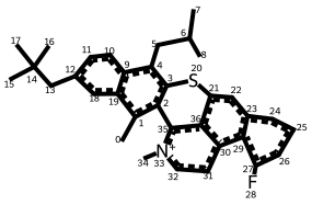 Cc1c2c(c(CC(C)C)c3ccc(CC(C)(C)C)cc13)Sc1cc3cccc(F)c3c3cc[n+](C)c-2c13